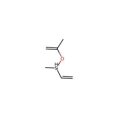 C=C[SiH](C)OC(=C)C